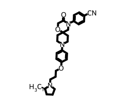 C[C@@H]1CCCN1CCCOc1ccc(N2CCC3(CC2)CN(c2ccc(C#N)cc2)C(=O)CO3)cc1